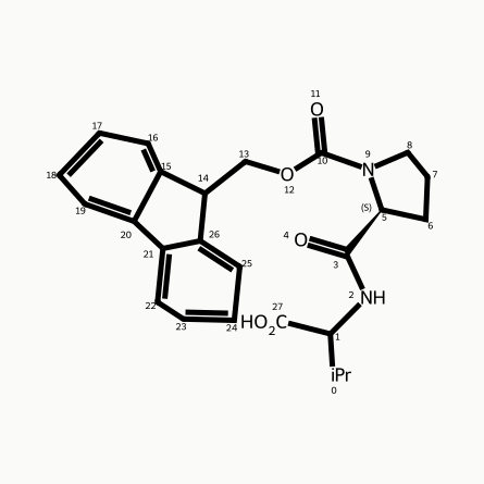 CC(C)C(NC(=O)[C@@H]1CCCN1C(=O)OCC1c2ccccc2-c2ccccc21)C(=O)O